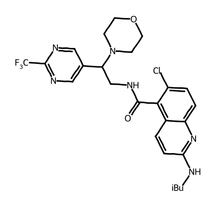 CCC(C)Nc1ccc2c(C(=O)NCC(c3cnc(C(F)(F)F)nc3)N3CCOCC3)c(Cl)ccc2n1